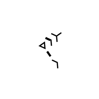 C1CC1.C=C.C=CC.CC(C)C.CCC